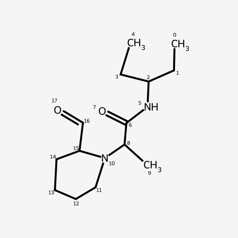 CCC(CC)NC(=O)C(C)N1CCCCC1C=O